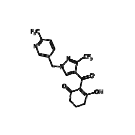 O=C1CCCC(O)=C1C(=O)c1cn(Cc2ccc(C(F)(F)F)nc2)nc1C(F)(F)F